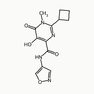 Cn1c(C2CCC2)nc(C(=O)Nc2cnoc2)c(O)c1=O